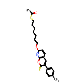 CC(C)C(=O)SCCCCCCCOc1ccc2cc(-c3ccc(C(F)(F)F)cc3)c(=S)oc2n1